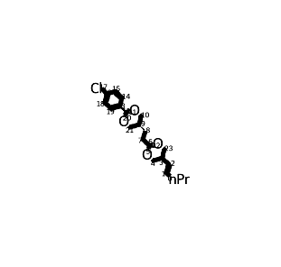 CCC/C=C/C1COC(CC[C@H]2CO[C@H](c3ccc(Cl)cc3)OC2)OC1